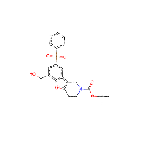 CC(C)(C)OC(=O)N1CCc2oc3c(CO)cc(S(=O)(=O)c4ccccc4)cc3c2C1